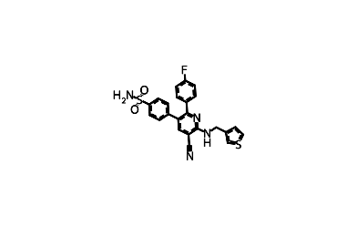 N#Cc1cc(-c2ccc(S(N)(=O)=O)cc2)c(-c2ccc(F)cc2)nc1NCc1ccsc1